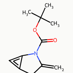 C=C1CC2=C=C2N1C(=O)OC(C)(C)C